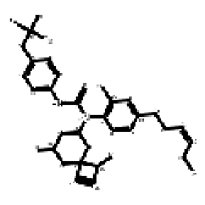 C=C(Nc1ccc(CC(C)(F)F)cc1)N(c1ccc(CC/C=C\CC)cc1C)C1CC(C)CC2(C#CC2C)C1